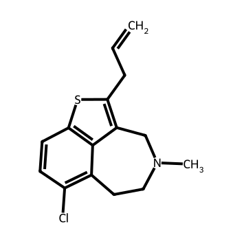 C=CCc1sc2ccc(Cl)c3c2c1CN(C)CC3